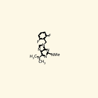 CNc1nc(N(C)C)c2ncn(Cc3c(F)cccc3F)c2n1